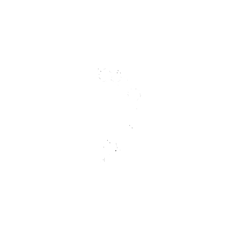 CC(C)(CO)NC(=O)C1CCN(CCOc2ccc(Oc3nc4cnccc4s3)cc2)CC1